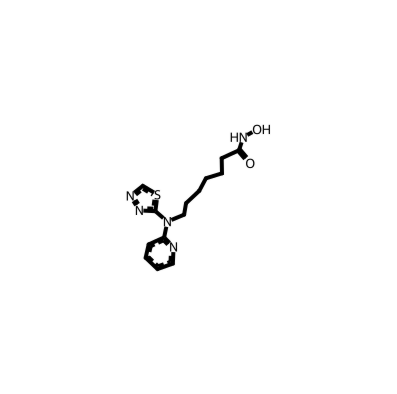 O=C(CCCCCCN(c1ccccn1)c1nncs1)NO